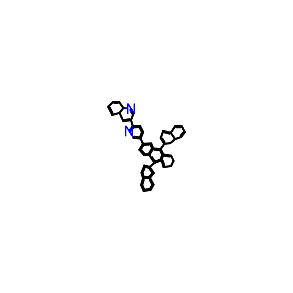 C1=CC2=CC=C(c3c4c(c(-c5ccc6ccccc6c5)c5ccc(-c6ccc(C7=CC8C=CC=CC8N=C7)nc6)cc35)=CCCC=4)CC2C=C1